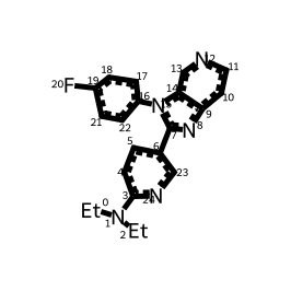 CCN(CC)c1ccc(-c2nc3ccncc3n2-c2ccc(F)cc2)cn1